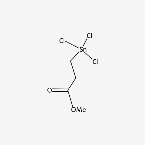 COC(=O)C[CH2][Sn]([Cl])([Cl])[Cl]